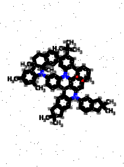 Cc1cc2c3c(c1)N(c1ccc(C(C)(C)C)cc1-c1ccccc1)c1cc(N4c5c(C)cc(C)cc5C5(C)CCc6ccccc6C45C)ccc1B3c1cc3c(cc1N2c1ccc2c(c1)CC(C)(C)C2)CC(C)(C)C3